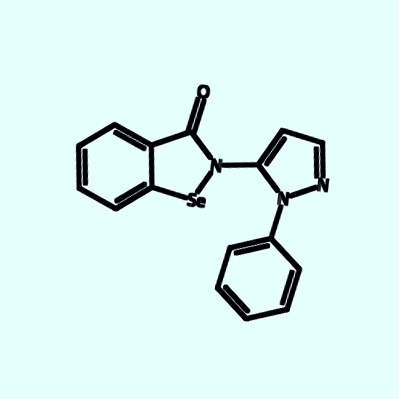 O=c1c2ccccc2[se]n1-c1ccnn1-c1ccccc1